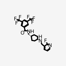 O=C(NC[C@H]1CC[C@@H](NCc2cccnc2F)CC1)c1cc(C(F)(F)F)cc(C(F)(F)F)c1